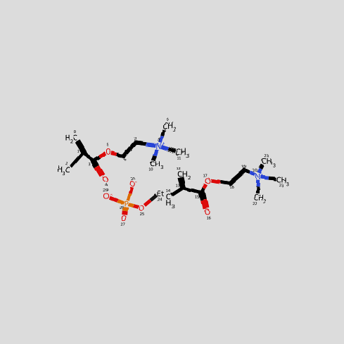 C=C(C)C(=O)OCC[N+](C)(C)C.C=C(C)C(=O)OCC[N+](C)(C)C.CCOP(=O)([O-])[O-]